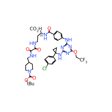 CC(C)(C)OC(=O)N1CCC(CNC(=O)C(=O)NCC[C@H](NC(=O)c2ccc(Nc3nc(NC4(c5ccc(Cl)cc5)CC4)nc(OCC(F)(F)F)n3)cc2)C(=O)O)CC1